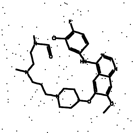 COc1cc2ncnc(Nc3ccc(F)c(Cl)c3)c2cc1OC1CCN(CCCN(C)CCN(C)C=O)CC1